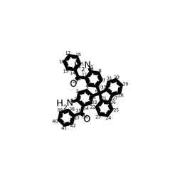 Nc1ccc(C2(c3ccc(N)c(C(=O)c4ccccc4)c3)c3ccccc3-c3ccccc32)cc1C(=O)c1ccccc1